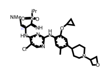 CN/C=C(/Nc1nc(Nc2cc(C)c(C3CCN(C4COC4)CC3)cc2OC2CC2)ncc1Cl)C(=N)S(=O)(=O)C(C)C